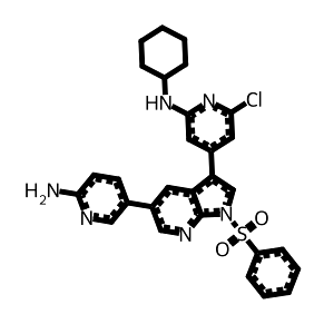 Nc1ccc(-c2cnc3c(c2)c(-c2cc(Cl)nc(NC4CCCCC4)c2)cn3S(=O)(=O)c2ccccc2)cn1